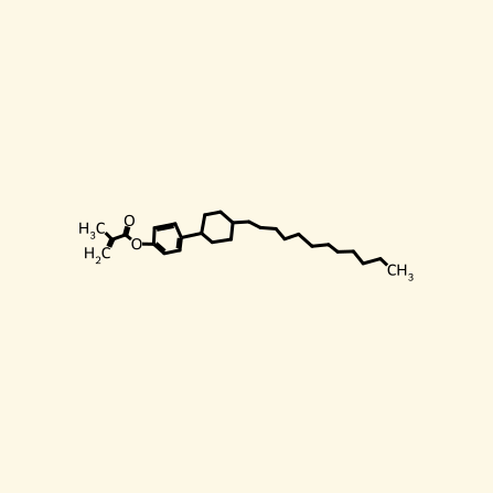 C=C(C)C(=O)Oc1ccc(C2CCC(CCCCCCCCCCCC)CC2)cc1